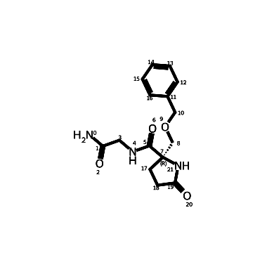 NC(=O)CNC(=O)[C@]1(COCc2ccccc2)CCC(=O)N1